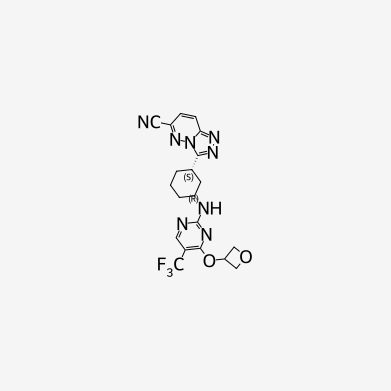 N#Cc1ccc2nnc([C@H]3CCC[C@@H](Nc4ncc(C(F)(F)F)c(OC5COC5)n4)C3)n2n1